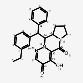 CCc1cccc(C(c2ccccc2)C2C3CCCN3C(=O)c3c(O)c(=O)cnn32)c1